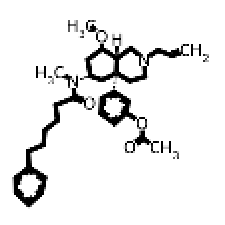 C=CCN1CC[C@@]2(c3cccc(OC(C)=O)c3)C[C@H](N(C)C(=O)CCCCCc3ccccc3)CC(OC)[C@@H]2C1